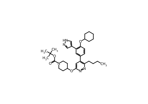 CCCCc1nnc(OC2CCN(C(=O)OC(C)(C)C)CC2)cc1-c1ccc(OC2CCCCC2)c(-c2cn[nH]c2)c1